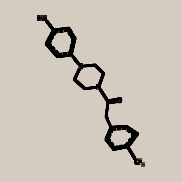 O=C(Cc1ccc(C(F)(F)F)cc1)N1CCN(c2ccc(O)cc2)CC1